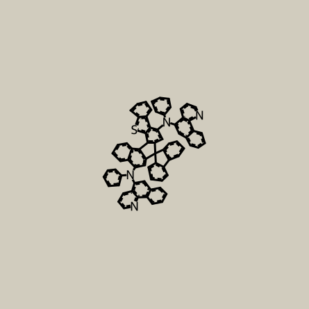 c1ccc(N(c2cc3c(c4ccccc24)-c2c(cc(N(c4ccccc4)c4cc5ccccc5c5ncccc45)c4c2sc2ccccc24)C32c3ccccc3-c3ccccc32)c2cc3ccccc3c3ncccc23)cc1